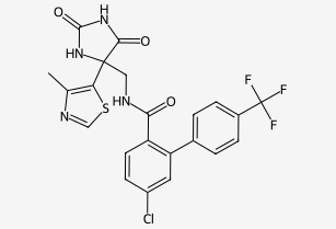 Cc1ncsc1C1(CNC(=O)c2ccc(Cl)cc2-c2ccc(C(F)(F)F)cc2)NC(=O)NC1=O